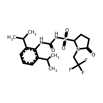 CC(C)c1cccc(C(C)C)c1NC(=O)NS(=O)(=O)C1CCC(=O)N1CC(F)(F)F